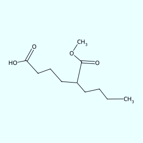 CCCCC(CCCC(=O)O)C(=O)OC